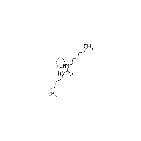 C1CCCCC1.CCCCCCNC(=O)NCCCCC